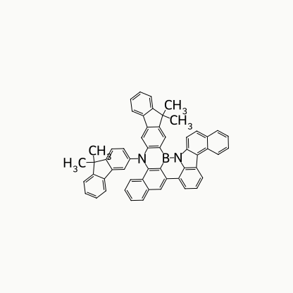 CC1(C)c2ccccc2-c2cc(N3c4cc5c(cc4B4c6c(cc7ccccc7c63)-c3cccc6c7c8ccccc8ccc7n4c36)C(C)(C)c3ccccc3-5)ccc21